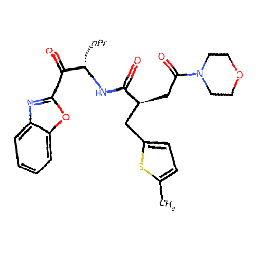 CCC[C@H](NC(=O)[C@@H](CC(=O)N1CCOCC1)Cc1ccc(C)s1)C(=O)c1nc2ccccc2o1